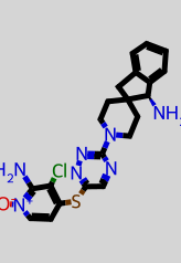 Nc1c(Cl)c(Sc2cnc(N3CCC4(CC3)Cc3ccccc3[C@H]4N)nn2)cc[n+]1[O-]